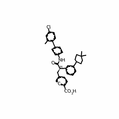 Cc1cc(Cl)ccc1-c1ccc(NC(=O)[C@H](Cc2ccc(C(=O)O)cc2)c2cccc(C3CCC(C)(C)CC3)c2)cc1